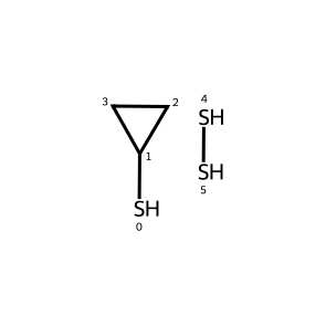 SC1CC1.SS